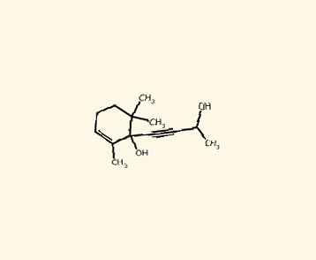 CC1=CCCC(C)(C)C1(O)C#CC(C)O